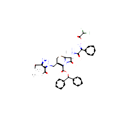 COC(=O)c1nnn(CC2=C(C(=O)OC(c3ccccc3)c3ccccc3)N3C(=O)[C@@H](NC(=O)C(=NOC(=O)C(Cl)Cl)c4ccccc4)[C@@H]3SC2)c1C(=O)OC